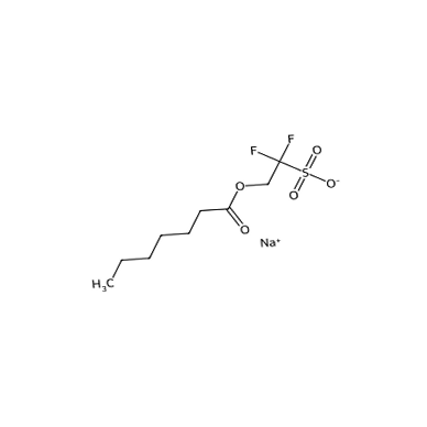 CCCCCCC(=O)OCC(F)(F)S(=O)(=O)[O-].[Na+]